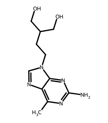 Cc1nc(N)nc2c1ncn2CCC(CO)CO